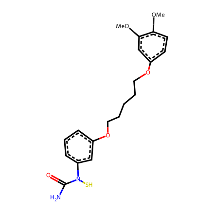 COc1ccc(OCCCCCOc2cccc(N(S)C(N)=O)c2)cc1OC